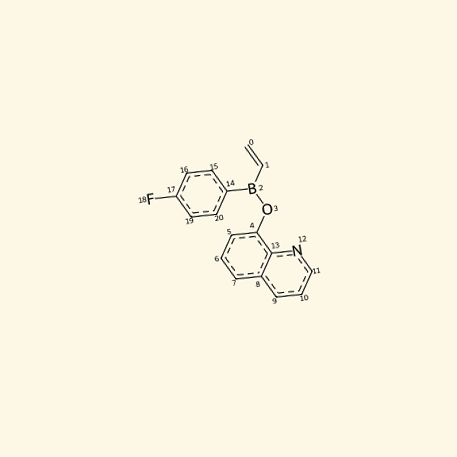 C=CB(Oc1cccc2cccnc12)c1ccc(F)cc1